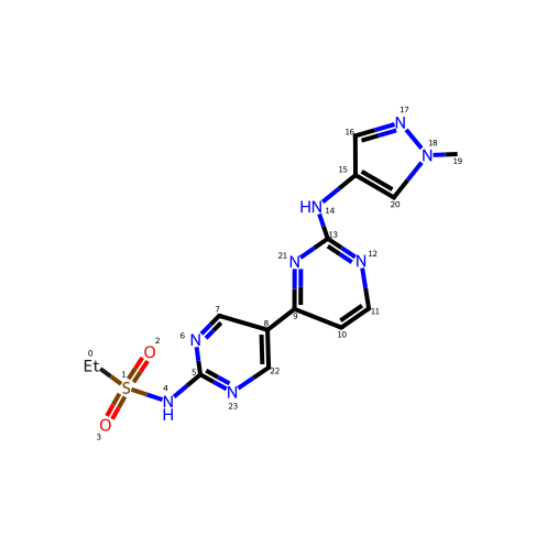 CCS(=O)(=O)Nc1ncc(-c2ccnc(Nc3cnn(C)c3)n2)cn1